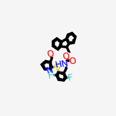 O=Cc1cccnc1Sc1c(F)ccc(F)c1CNC(=O)OCC1c2ccccc2-c2ccccc21